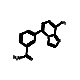 NC(=O)c1cccc(-c2cnc(N)c3nccn23)c1